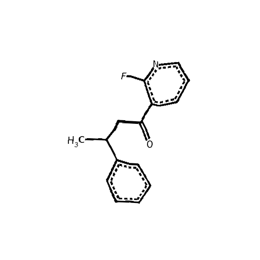 CC(CC(=O)c1cccnc1F)c1ccccc1